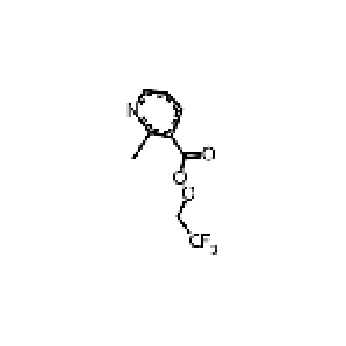 Cc1ncccc1C(=O)OOCC(F)(F)F